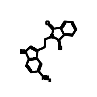 Nc1ccc2[nH]cc(CCN3C(=O)c4ccccc4C3=O)c2c1